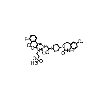 COc1ccc2c(c1)CCN(C1CCN(C(=O)Cn3cc(-c4cccc(F)c4Cl)c(=O)n(CCS(=O)(=O)O)c3=O)CC1)C(=O)N2